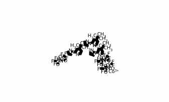 CC(C)(C)c1ccnc(-n2cccn2)c1.CC(C)(C)c1ccnc(-n2cccn2)c1.CC(C)(C)c1ccnc(-n2cccn2)c1.O=S(=O)([N-]S(=O)(=O)C(F)(F)F)C(F)(F)F.O=S(=O)([N-]S(=O)(=O)C(F)(F)F)C(F)(F)F.O=S(=O)([N-]S(=O)(=O)C(F)(F)F)C(F)(F)F.[Co+3]